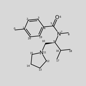 Cc1ccc(C(=O)N(C)[C@H](CN2CCCC2)C(C)C)cc1